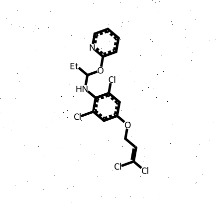 CCC(Nc1c(Cl)cc(OCC=C(Cl)Cl)cc1Cl)Oc1ccccn1